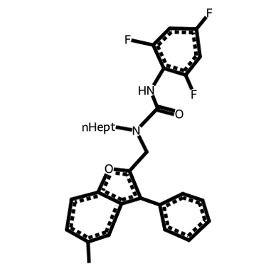 CCCCCCCN(Cc1oc2ccc(C)cc2c1-c1ccccc1)C(=O)Nc1c(F)cc(F)cc1F